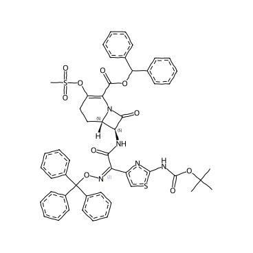 CC(C)(C)OC(=O)Nc1nc(/C(=N/OC(c2ccccc2)(c2ccccc2)c2ccccc2)C(=O)N[C@@H]2C(=O)N3C(C(=O)OC(c4ccccc4)c4ccccc4)=C(OS(C)(=O)=O)CC[C@@H]23)cs1